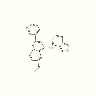 COc1ccc2nc(-c3cccnc3)nc(Nc3cccc4nonc34)c2c1